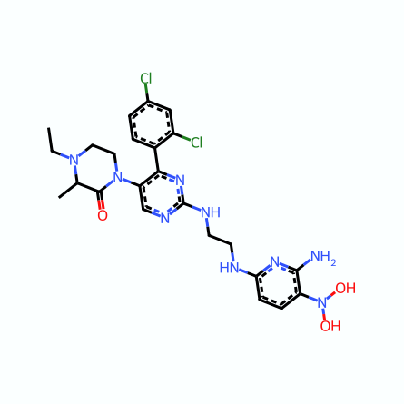 CCN1CCN(c2cnc(NCCNc3ccc(N(O)O)c(N)n3)nc2-c2ccc(Cl)cc2Cl)C(=O)C1C